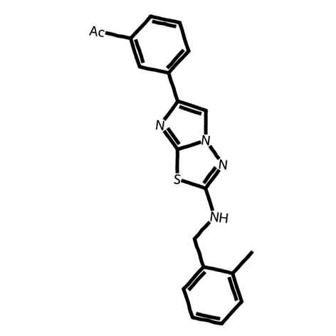 CC(=O)c1cccc(-c2cn3nc(NCc4ccccc4C)sc3n2)c1